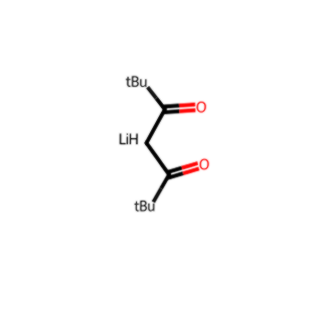 CC(C)(C)C(=O)CC(=O)C(C)(C)C.[LiH]